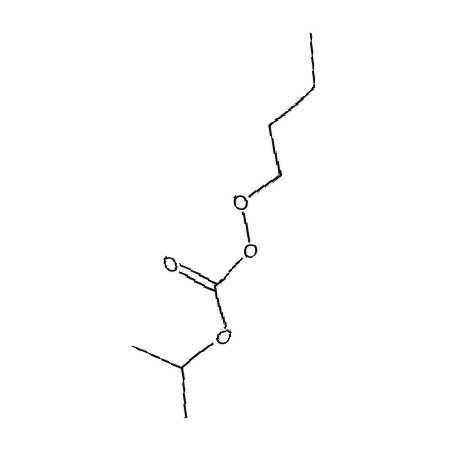 CCCCOOC(=O)OC(C)C